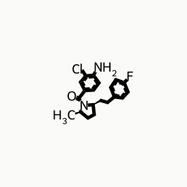 C[C@@H]1CC[C@H](CCc2ccc(F)cc2)N1C(=O)c1ccc(N)c(Cl)c1